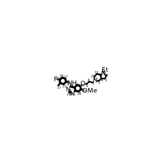 CCN1CCC2CN(CCCOc3cc4c(Nc5ccc(F)c(C)c5)ncnc4cc3OC)CCC21